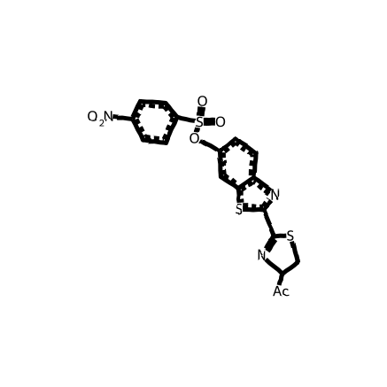 CC(=O)C1CSC(c2nc3ccc(OS(=O)(=O)c4ccc([N+](=O)[O-])cc4)cc3s2)=N1